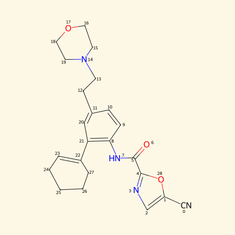 N#Cc1cnc(C(=O)Nc2ccc(CCN3CCOCC3)cc2C2=CCCCC2)o1